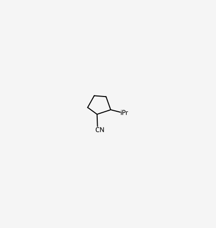 CC(C)C1CCCC1C#N